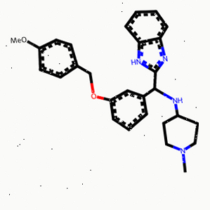 COc1ccc(COc2cccc(C(NC3CCN(C)CC3)c3nc4ccccc4[nH]3)c2)cc1